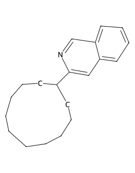 c1ccc2cc(C3CCCCCCCCCC3)ncc2c1